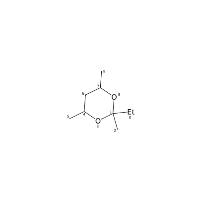 CCC1(C)OC(C)CC(C)O1